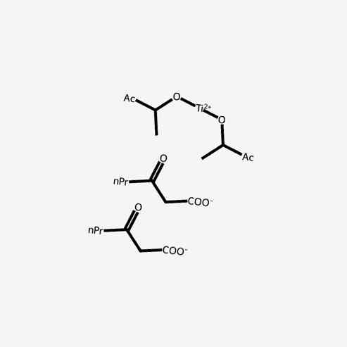 CC(=O)C(C)[O][Ti+2][O]C(C)C(C)=O.CCCC(=O)CC(=O)[O-].CCCC(=O)CC(=O)[O-]